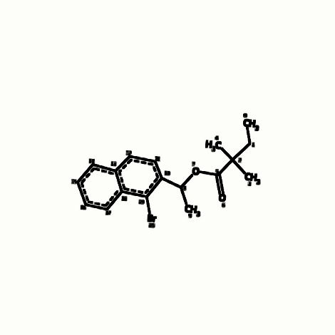 CCC(C)(C)C(=O)OC(C)c1ccc2ccccc2c1Br